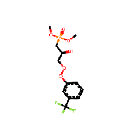 COP(=O)(CC(=O)COOc1cccc(C(F)(F)F)c1)OC